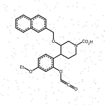 CCOc1ccc(C2CCN(C(=O)O)CC2OCc2ccc3ccccc3c2)c(OC=C=O)c1